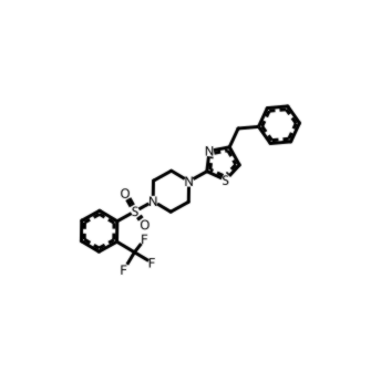 O=S(=O)(c1ccccc1C(F)(F)F)N1CCN(c2nc(Cc3ccccc3)cs2)CC1